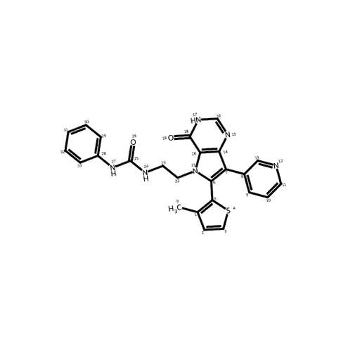 Cc1ccsc1-c1c(-c2cccnc2)c2nc[nH]c(=O)c2n1CCNC(=O)Nc1ccccc1